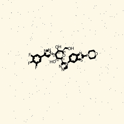 OC[C@H]1O[C@@H](c2nncn2-c2ccc3nc(N4CCOCC4)sc3c2)[C@H](O)[C@@H](n2cc(-c3cc(F)c(F)c(F)c3)nn2)[C@H]1O